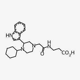 O=C(O)CCNC(=O)CN1CCN(C2CCCCC2)C(c2c[nH]c3ccccc23)C1